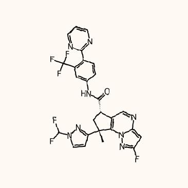 C[C@@]1(c2ccn(C(F)F)n2)C[C@H](C(=O)Nc2ccc(-c3ncccn3)c(C(F)(F)F)c2)c2cnc3cc(F)nn3c21